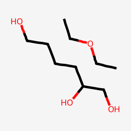 CCOCC.OCCCCC(O)CO